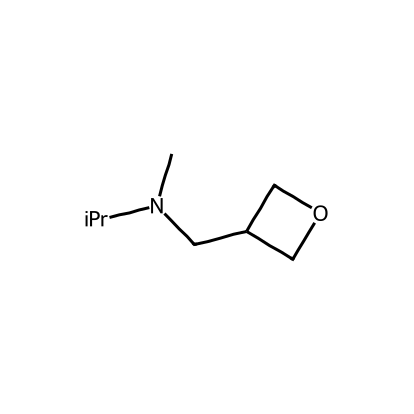 CC(C)N(C)CC1COC1